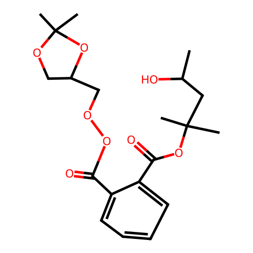 CC(O)CC(C)(C)OC(=O)c1ccccc1C(=O)OOCC1COC(C)(C)O1